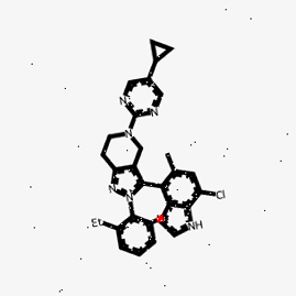 CCc1cccc(CC)c1-n1nc2c(c1-c1c(C)cc(Cl)c3[nH]ccc13)CN(c1ncc(C3CC3)cn1)CC2